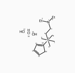 CCN(CC)C[CH2][Ti]([CH3])([CH3])([CH3])([CH3])[C]1=CC=CC1.Cl.Cl.Cl